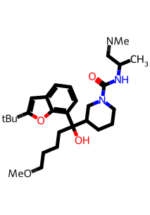 CNCC(C)NC(=O)N1CCCC(C(O)(CCCCOC)c2cccc3cc(C(C)(C)C)oc23)C1